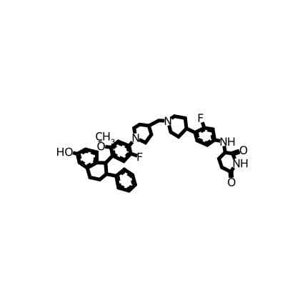 COc1cc(N2CCC(CN3CCC(c4ccc(NC5CCC(=O)NC5=O)cc4F)CC3)CC2)c(F)cc1C1c2ccc(O)cc2CCC1c1ccccc1